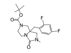 CN1CC2(Cc3ccc(F)cc3F)CN(C(=O)OC(C)(C)C)CCN2C1=O